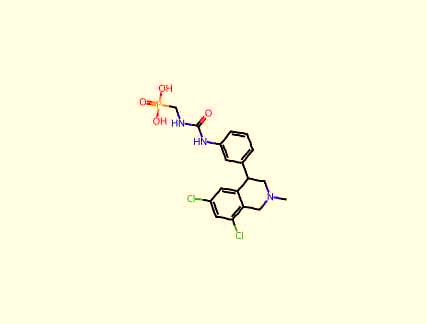 CN1Cc2c(Cl)cc(Cl)cc2C(c2cccc(NC(=O)NCP(=O)(O)O)c2)C1